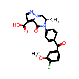 COc1cc(C(=O)c2ccc(N3C(=O)c4c(C(=O)O)cnn4C[C@@H]3C)cc2)ccc1Cl